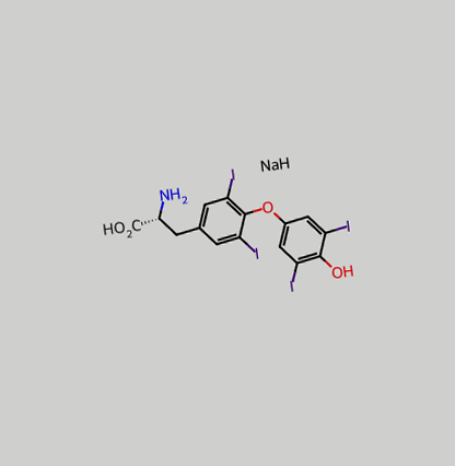 N[C@H](Cc1cc(I)c(Oc2cc(I)c(O)c(I)c2)c(I)c1)C(=O)O.[NaH]